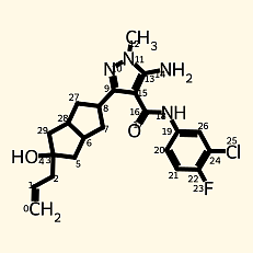 C=CCC1(O)CC2CC(c3nn(C)c(N)c3C(=O)Nc3ccc(F)c(Cl)c3)CC2C1